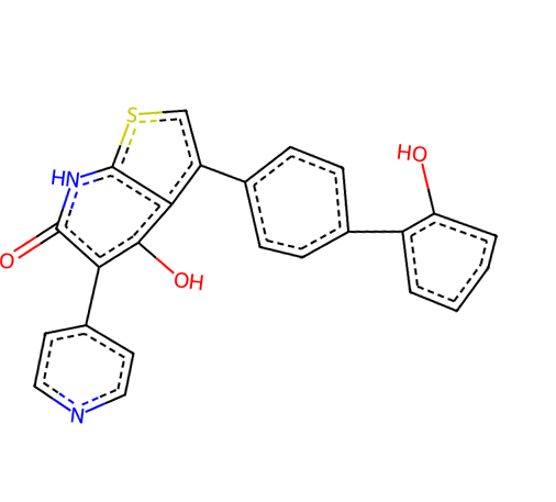 O=c1[nH]c2scc(-c3ccc(-c4ccccc4O)cc3)c2c(O)c1-c1ccncc1